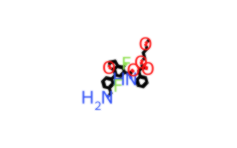 COCCCOC(=O)Cc1ccccc1NC(=O)c1cc(-c2cccc(CN)c2F)c2occc2c1F